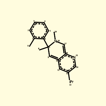 Cc1ccccc1C1(C)C=c2cc(C(C)C)cnc2=CN1C